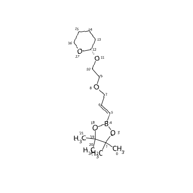 CC1(C)OB(/C=C/COCCO[C@H]2CCCCO2)OC1(C)C